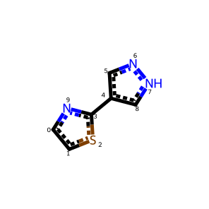 c1csc(-c2cn[nH]c2)n1